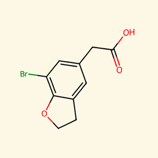 O=C(O)Cc1cc(Br)c2c(c1)CCO2